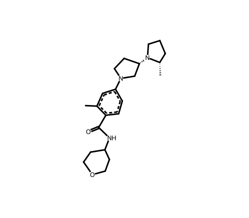 Cc1cc(N2CC[C@H](N3CCC[C@@H]3C)C2)ccc1C(=O)NC1CCOCC1